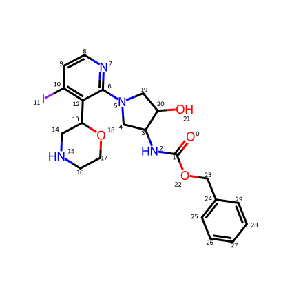 O=C(NC1CN(c2nccc(I)c2C2CNCCO2)CC1O)OCc1ccccc1